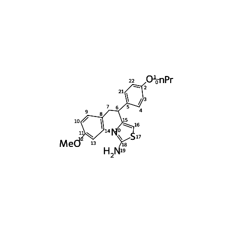 CCCOc1ccc(C(Cc2ccc(OC)cc2)c2csc(N)n2)cc1